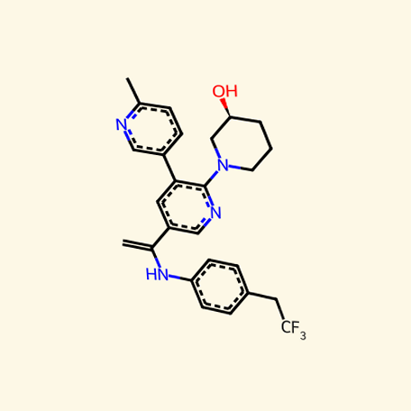 C=C(Nc1ccc(CC(F)(F)F)cc1)c1cnc(N2CCC[C@H](O)C2)c(-c2ccc(C)nc2)c1